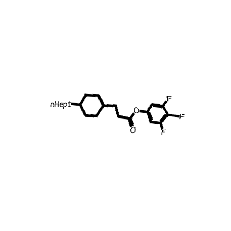 CCCCCCCC1CCC(CCC(=O)Oc2cc(F)c(F)c(F)c2)CC1